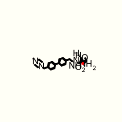 CN1CCN(Cc2ccc(-c3ccc(CC(N)NC(=O)C4(N)C5CC[C@@H]4O5)cc3)cc2)CC1